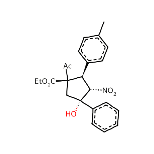 CCOC(=O)[C@]1(C(C)=O)C[C@](O)(c2ccccc2)[C@@H]([N+](=O)[O-])[C@@H]1c1ccc(C)cc1